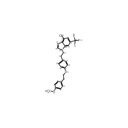 COc1ccc(CCOc2ccc(CCn3cnc4c(Cl)cc(C(F)(F)F)cc43)cc2)cc1